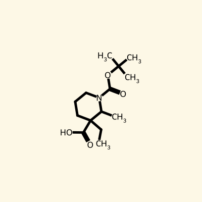 CCC1(C(=O)O)CCCN(C(=O)OC(C)(C)C)C1C